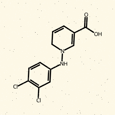 O=C(O)C1=CN(Nc2ccc(Cl)c(Cl)c2)CC=C1